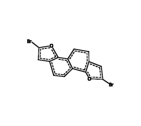 Brc1cc2ccc3c(ccc4cc(Br)oc43)c2o1